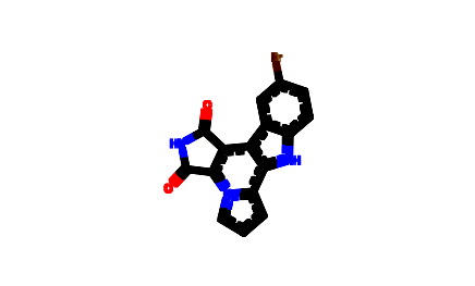 O=C1NC(=O)c2c1c1c3cc(Br)ccc3[nH]c1c1cccn21